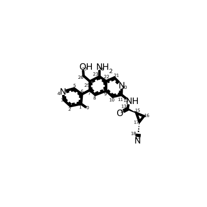 Cc1ccncc1-c1cc2cc(NC(=O)[C@H]3C[C@@H]3C#N)ncc2c(N)c1CO